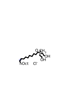 CCCCCCCC/C=C\CCCCCCCC(=O)[N+](C)(CCO)CCO.[Cl-]